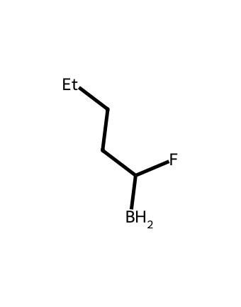 BC(F)CCCC